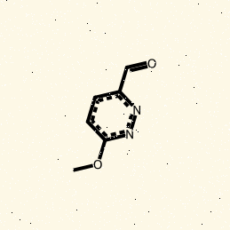 COc1ccc(C=O)nn1